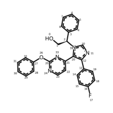 OC[C@@H](c1ccccc1)n1cnc(-c2ccc(F)cc2)c1-c1ccnc(Oc2ccccc2)n1